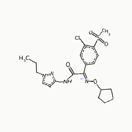 CCCn1ccc(NC(=O)/C(=N/OC2CCCC2)c2ccc(S(C)(=O)=O)c(Cl)c2)n1